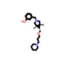 Oc1cccc(CN2C[C@@H]3[C@H](COCCCN4CCCCC4)[C@@H]3C2)c1